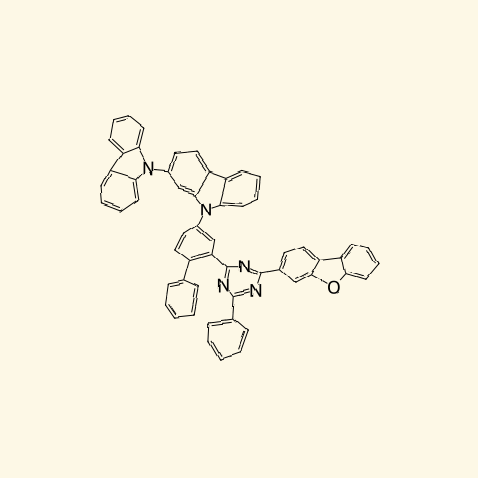 c1ccc(-c2nc(-c3ccc4c(c3)oc3ccccc34)nc(-c3cc(-n4c5ccccc5c5ccc(-n6c7ccccc7c7ccccc76)cc54)ccc3-c3ccccc3)n2)cc1